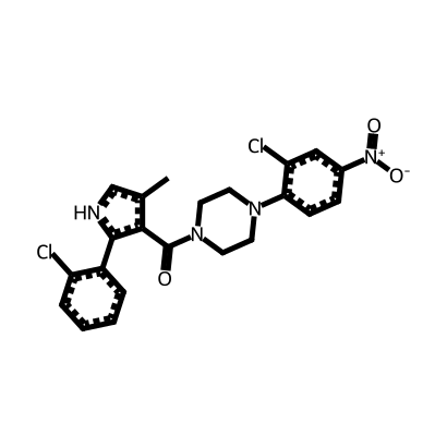 Cc1c[nH]c(-c2ccccc2Cl)c1C(=O)N1CCN(c2ccc([N+](=O)[O-])cc2Cl)CC1